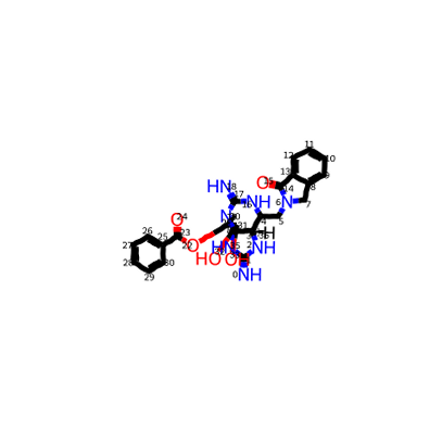 N=C1N[C@H]2C(CN3Cc4ccccc4C3=O)NC(=N)N3CC(OC(=O)c4ccccc4)C(O)(O)[C@]23N1